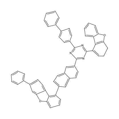 C1=C(c2nc(-c3ccc(-c4ccccc4)cc3)nc(-c3ccc4cc(-c5cccc6oc7cc(-c8ccccc8)ccc7c56)ccc4c3)n2)c2c(oc3ccccc23)CC1